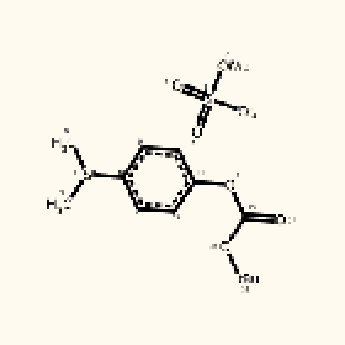 COS(=O)(=O)[O-].C[S+](C)c1ccc(OC(=O)OC(C)(C)C)cc1